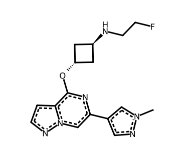 Cn1cc(-c2cn3nccc3c(O[C@H]3C[C@H](NCCF)C3)n2)cn1